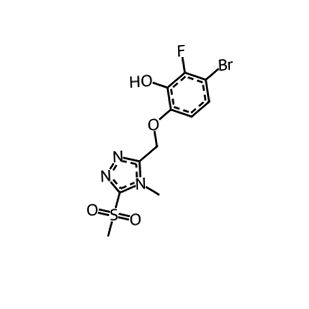 Cn1c(COc2ccc(Br)c(F)c2O)nnc1S(C)(=O)=O